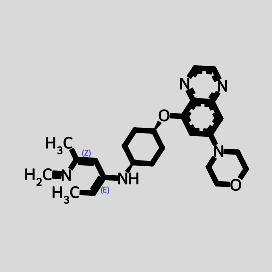 C=N/C(C)=C\C(=C/C)N[C@H]1CC[C@@H](Oc2cc(N3CCOCC3)cc3nccnc23)CC1